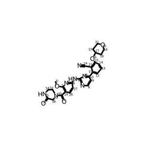 COc1nc(Nc2nccc(-c3cccc(OC4CCOCC4)c3C#N)n2)ccc1C(=O)N1CCNC(=O)C1